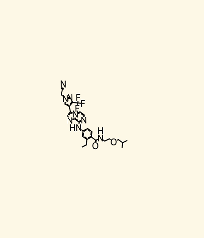 CCc1cc(Nc2nccn3c(-c4cn(CC#N)nc4C(F)(F)F)cnc23)ccc1C(=O)NCCOCC(C)C